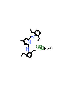 CCc1cccc(CC)c1N=Cc1cc(C)cc(C=Nc2c(CC)cccc2CC)n1.[Cl-].[Cl-].[Cl-].[Fe+3]